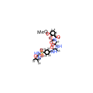 COOc1cccc2c(=O)n(CC(=O)NC(C)C(=O)Nc3ccc(S(=O)(=O)Nc4nc(C)c(C)o4)cc3)c(=O)oc12